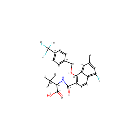 Cc1cc(F)c2ccc(C(=O)NC(C(=O)O)C(C)(C)C)c(OCc3ccc(C(F)(F)F)cc3)c2c1